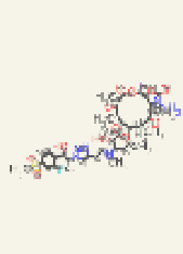 CO[C@]1(C)C[C@@H](C)C(=O)[C@H](C)[C@H]2N(N)C(=O)O[C@]2(C)[C@@H](I)OC(=O)[C@H](C)C(=O)[C@H](C)[C@H]1O[C@@H]1O[C@H](C)C[C@H](N(C)CCc2cn([C@H](CF)[C@H](O)c3ccc(S(C)(=O)=O)cc3)nn2)[C@H]1O